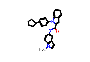 Cn1ccc2cc(NC(=O)c3cc4ccccc4n3-c3ccc(C4CCCC4)cc3)ccc21